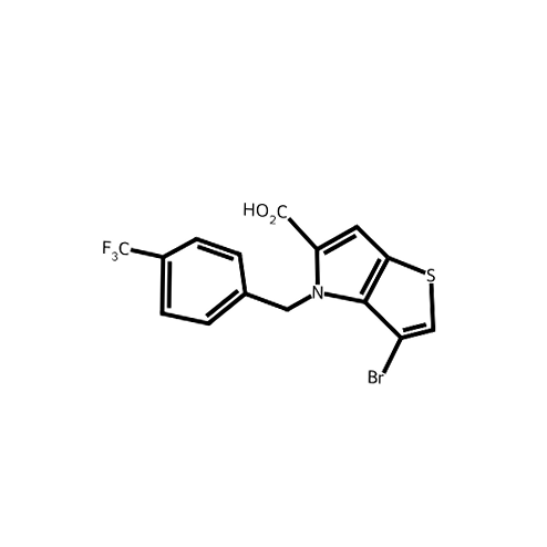 O=C(O)c1cc2scc(Br)c2n1Cc1ccc(C(F)(F)F)cc1